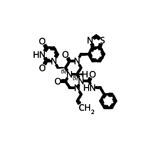 C=CCN1CC(=O)N2[C@@H](Cn3ccc(=O)[nH]c3=O)C(=O)N(Cc3cccc4scnc34)C[C@@H]2N1C(=O)NCc1ccccc1